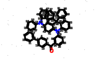 O=C(c1ccc(-c2ccccc2)cc1)c1cccc(N2c3ccccc3C(c3ccccc3)(c3ccccc3)c3c2ccc2c3c3ccccc3n2-c2ccccc2)c1